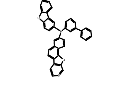 c1ccc(-c2cccc(N(c3ccc4c(ccc5c6ccncc6oc45)c3)c3ccc4oc5ccccc5c4c3)c2)cc1